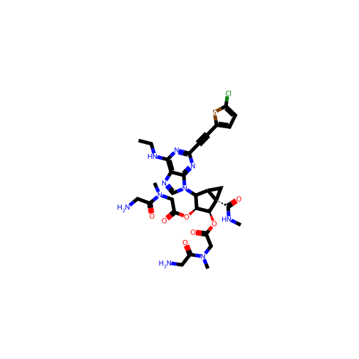 CCNc1nc(C#Cc2ccc(Cl)s2)nc2c1ncn2C1C2C[C@@]2(C(=O)NC)[C@@H](OC(=O)CN(C)C(=O)CN)[C@H]1OC(=O)CN(C)C(=O)CN